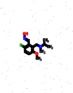 COc1ccc(F)c(/C=N/O)c1CN(C)C(C)C